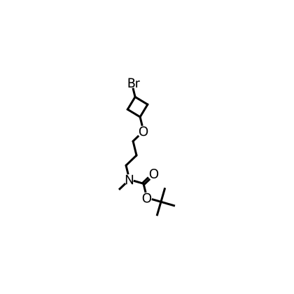 CN(CCCOC1CC(Br)C1)C(=O)OC(C)(C)C